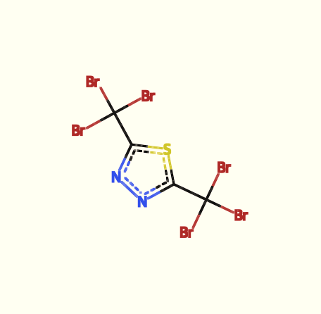 BrC(Br)(Br)c1nnc(C(Br)(Br)Br)s1